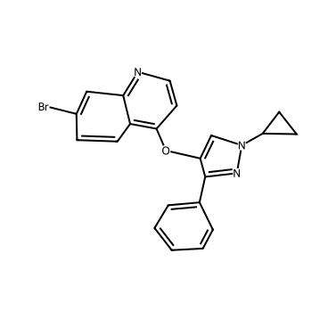 Brc1ccc2c(Oc3cn(C4CC4)nc3-c3ccccc3)ccnc2c1